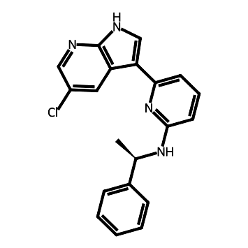 C[C@@H](Nc1cccc(-c2c[nH]c3ncc(Cl)cc23)n1)c1ccccc1